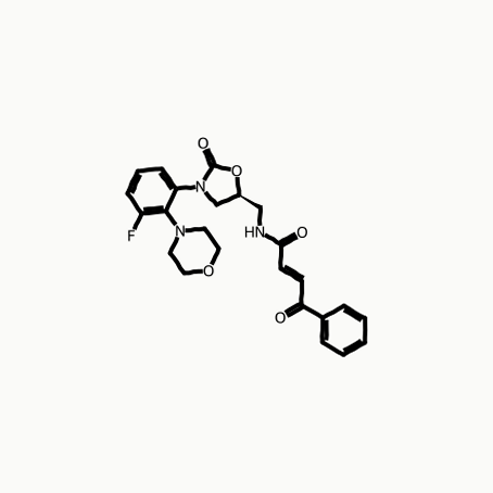 O=C(C=CC(=O)c1ccccc1)NC[C@H]1CN(c2cccc(F)c2N2CCOCC2)C(=O)O1